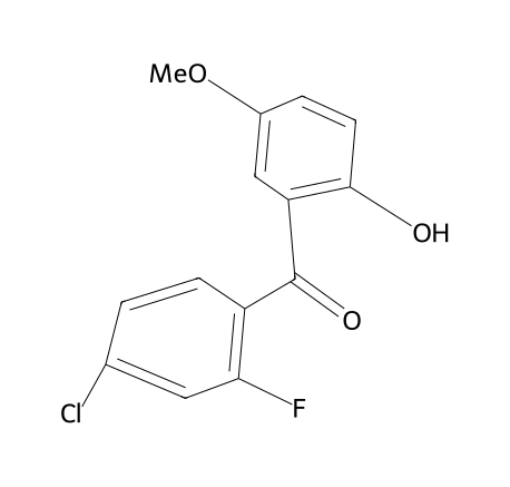 COc1ccc(O)c(C(=O)c2ccc(Cl)cc2F)c1